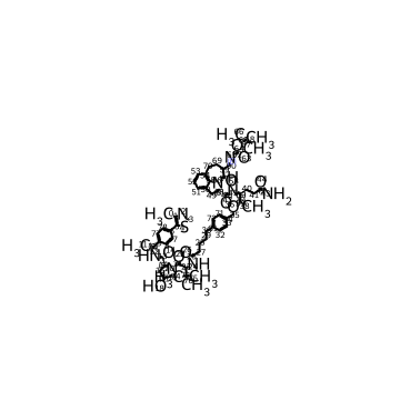 Cc1ncsc1-c1ccc([C@H](C)NC(=O)[C@@H]2C[C@H](O)CN2C(=O)C(NC(=O)CCCCc2ccc(CO[C@H](C)[C@H](CCC(N)=O)NC(=O)[C@@H]3Cc4cccc5c4N3C(=O)C(/C=N/C(=O)OC(C)(C)C)CC5)cc2)C(C)(C)C)cc1